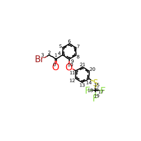 O=C(CBr)c1ccccc1Oc1ccc(SC(F)(F)F)cc1